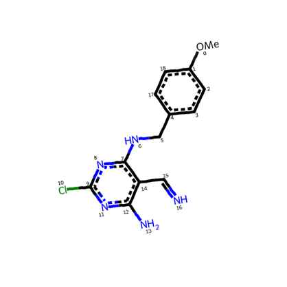 COc1ccc(CNc2nc(Cl)nc(N)c2C=N)cc1